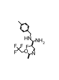 C=C(/N=C\C(F)=C(/N)NCc1ccc(C)cc1)OCC(F)(F)F